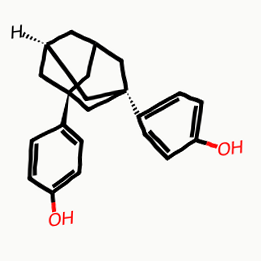 Oc1ccc([C@]23CC4C[C@H](C2)C[C@@](c2ccc(O)cc2)(C4)C3)cc1